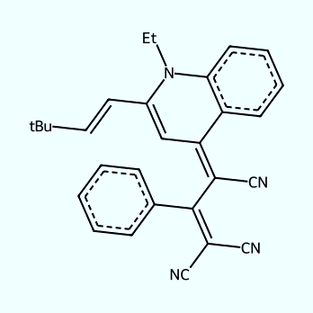 CCN1C(/C=C/C(C)(C)C)=CC(=C(/C#N)C(=C(C#N)C#N)c2ccccc2)/c2ccccc21